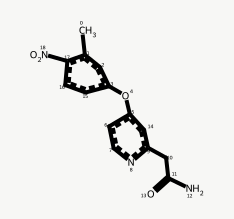 Cc1cc(Oc2ccnc(CC(N)=O)c2)ccc1[N+](=O)[O-]